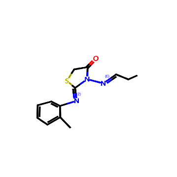 CC/C=N/N1C(=O)CS/C1=N\c1ccccc1C